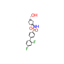 O=S(=O)(N[C@@H]1CC[C@H](CO)C1)c1ccc(-c2ccc(F)cc2F)cc1